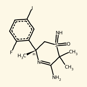 CC1(C)C(N)=N[C@](C)(c2cc(I)ccc2F)CS1(=N)=O